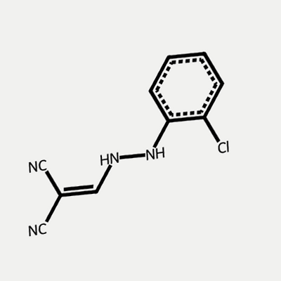 N#CC(C#N)=CNNc1ccccc1Cl